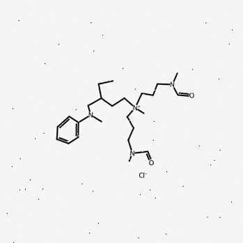 CCC(CC[N+](C)(CCCN(C)C=O)CCCN(C)C=O)CN(C)c1ccccc1.[Cl-]